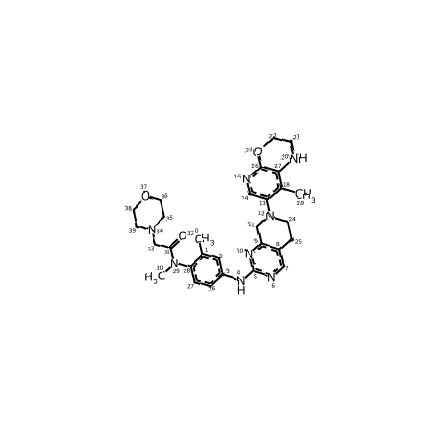 Cc1cc(Nc2ncc3c(n2)CN(c2cnc4c(c2C)NCCO4)CC3)ccc1N(C)C(=O)CN1CCOCC1